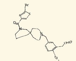 CC(C)c1nc(C(=O)N2CCCC3(CCN(Cc4ccc(C(F)(F)F)c(CC=O)c4)CC3)C2)cs1